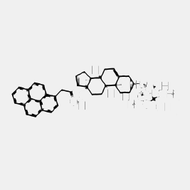 CC(C)(C)[Si](C)(C)O[C@H]1CC[C@@]2(C)C(=CC[C@H]3[C@@H]4CC[C@H](C(=O)Cc5ccc6ccc7cccc8ccc5c6c78)[C@@]4(C)CC[C@@H]32)C1